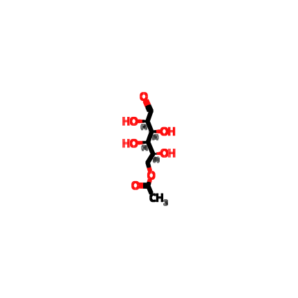 CC(=O)OC[C@@H](O)[C@@H](O)[C@H](O)[C@@H](O)C=O